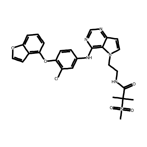 CC(C)(C(=O)NCCn1ccc2ncnc(Nc3ccc(Oc4cccc5occc45)c(Cl)c3)c21)S(C)(=O)=O